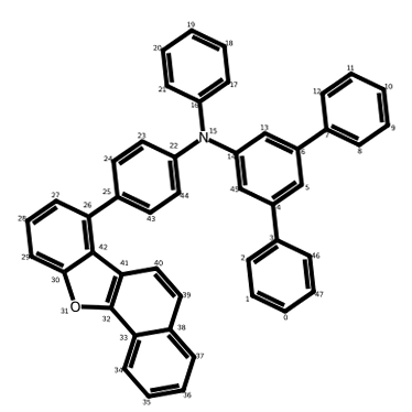 c1ccc(-c2cc(-c3ccccc3)cc(N(c3ccccc3)c3ccc(-c4cccc5oc6c7ccccc7ccc6c45)cc3)c2)cc1